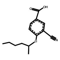 CCCCC(C)Oc1ccc(C(=O)O)cc1C#N